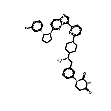 CN(Cc1cccc(N2CCC(=O)NC2=O)c1)C1CCN(c2cccc(-c3cnc4ccc(N5CCC[C@@H]5c5cccc(F)c5)nn34)n2)CC1